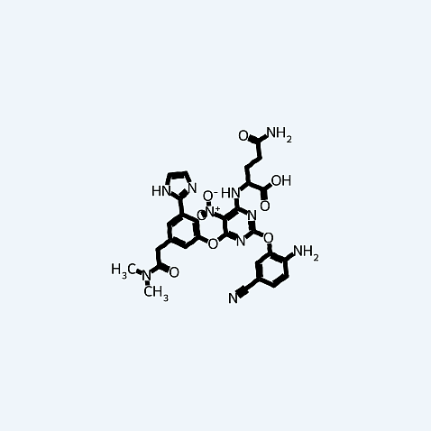 CN(C)C(=O)Cc1cc(Oc2nc(Oc3cc(C#N)ccc3N)nc(NC(CCC(N)=O)C(=O)O)c2[N+](=O)[O-])cc(-c2ncc[nH]2)c1